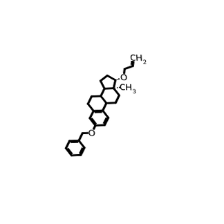 C=CCO[C@H]1CCC2C3CCc4cc(OCc5ccccc5)ccc4C3CC[C@@]21C